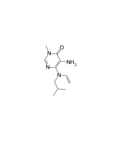 C=CN(CC(C)C)c1ncn(C)c(=O)c1N